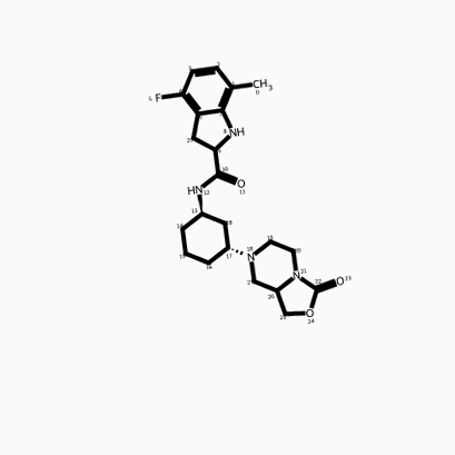 Cc1ccc(F)c2c1NC(C(=O)N[C@@H]1CCC[C@@H](N3CCN4C(=O)OCC4C3)C1)C2